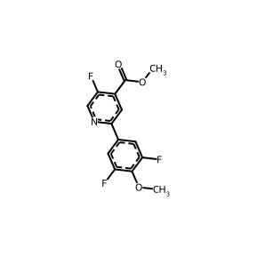 COC(=O)c1cc(-c2cc(F)c(OC)c(F)c2)ncc1F